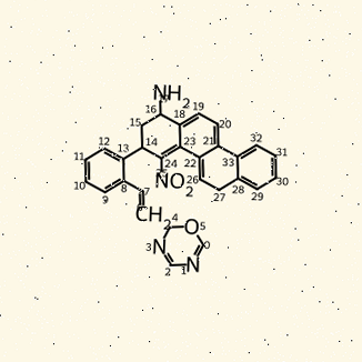 C1=NC=NCO1.C=Cc1ccccc1C1CC(N)c2ccc3c(c2=C1[N+](=O)[O-])=CCc1ccccc1-3